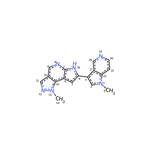 Cn1cc(-c2cc3c(ncc4cnn(C)c43)[nH]2)c2cnccc21